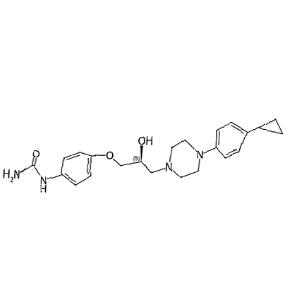 NC(=O)Nc1ccc(OC[C@@H](O)CN2CCN(c3ccc(C4CC4)cc3)CC2)cc1